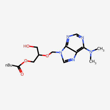 CCCCC(=O)OCC(CO)OCn1cnc2c(N(C)C)ncnc21